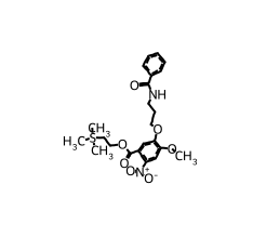 COc1cc([N+](=O)[O-])c(C(=O)OCCS(C)(C)C)cc1OCCCNC(=O)c1ccccc1